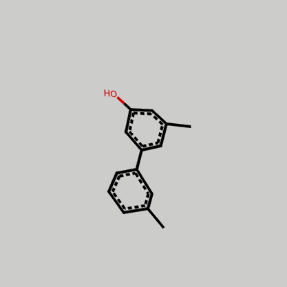 Cc1cccc(-c2cc(C)cc(O)c2)c1